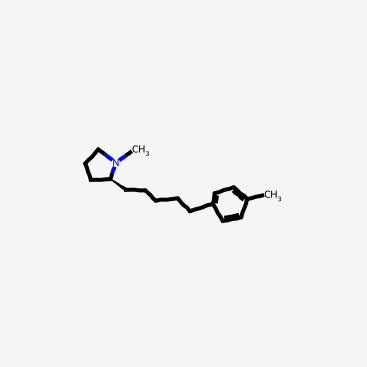 Cc1ccc(CCCCC[C@H]2CCCN2C)cc1